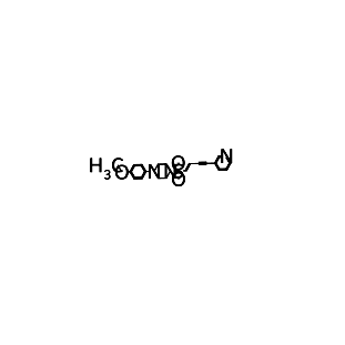 COc1ccc(N2CCN(S(=O)(=O)/C=C/C#Cc3cccnc3)CC2)cc1